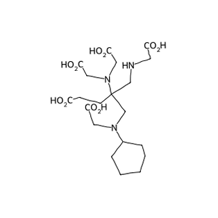 O=C(O)CCC(CNCC(=O)O)(CN(CC(=O)O)C1CCCCC1)N(CC(=O)O)CC(=O)O